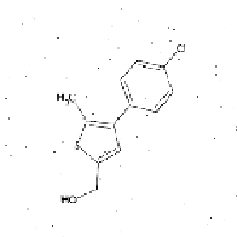 Cc1sc(CO)cc1-c1ccc(Cl)cc1